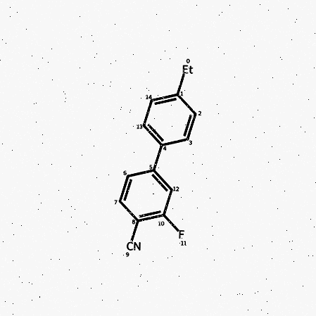 CCc1ccc(-c2ccc(C#N)c(F)c2)cc1